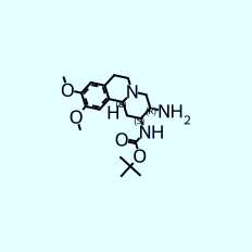 COc1cc2c(cc1OC)[C@@H]1C[C@H](NC(=O)OC(C)(C)C)[C@H](N)CN1CC2